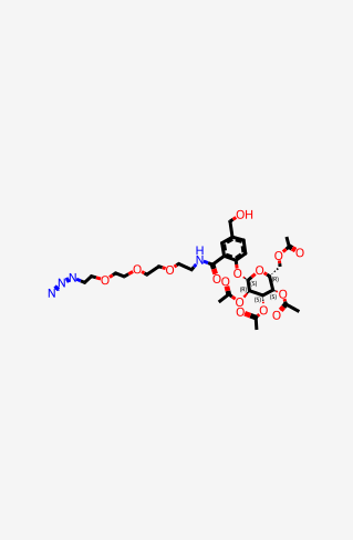 CC(=O)OC[C@H]1O[C@@H](Oc2ccc(CO)cc2C(=O)NCCOCCOCCOCCN=[N+]=[N-])[C@H](OC(C)=O)[C@@H](OC(C)=O)[C@H]1OC(C)=O